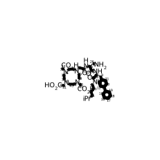 CC(C)CCCCNC(=O)[C@@H](Cc1ccc(-c2ccccc2)cc1)NC(=O)[C@@H](CN)NC(=O)CN1CCN(CC(=O)O)CCN(CC(=O)O)CCN(CC(=O)O)CC1